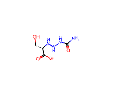 NC(=O)NNN[C@@H](CO)C(=O)O